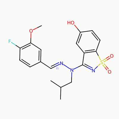 COc1cc(/C=N/N(CC(C)C)C2=NS(=O)(=O)c3ccc(O)cc32)ccc1F